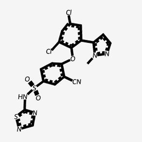 Cn1nccc1-c1cc(Cl)cc(Cl)c1Oc1ccc(S(=O)(=O)Nc2ncns2)cc1C#N